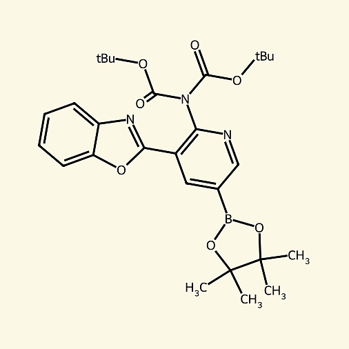 CC(C)(C)OC(=O)N(C(=O)OC(C)(C)C)c1ncc(B2OC(C)(C)C(C)(C)O2)cc1-c1nc2ccccc2o1